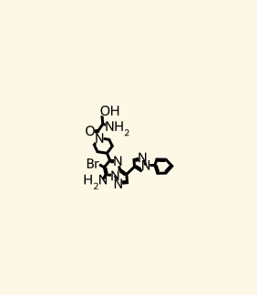 Nc1c(Br)c(C2CCN(C(=O)C(N)CO)CC2)nc2c(-c3cnn(-c4ccccc4)c3)cnn12